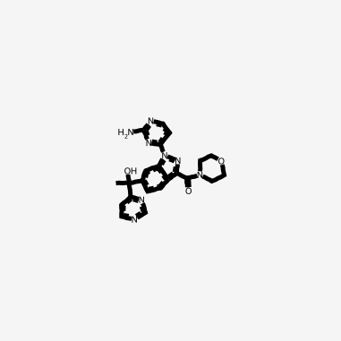 CC(O)(c1ccc2c(C(=O)N3CCOCC3)nn(-c3ccnc(N)n3)c2c1)c1ccncn1